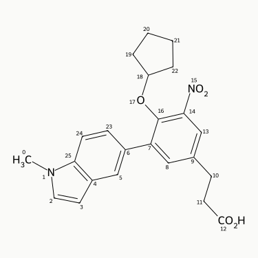 Cn1ccc2cc(-c3cc(CCC(=O)O)cc([N+](=O)[O-])c3OC3CCCC3)ccc21